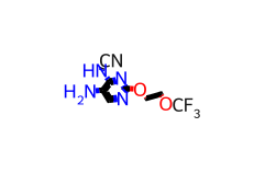 N#CNc1nc(OCCOC(F)(F)F)ncc1N